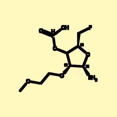 B[C@@H]1O[C@H](CF)C(O[PH](=O)O)[C@@H]1OCCOC